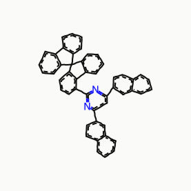 c1ccc2c(c1)-c1ccccc1C21c2ccccc2-c2c(-c3nc(-c4ccc5ccccc5c4)cc(-c4ccc5ccccc5c4)n3)cccc21